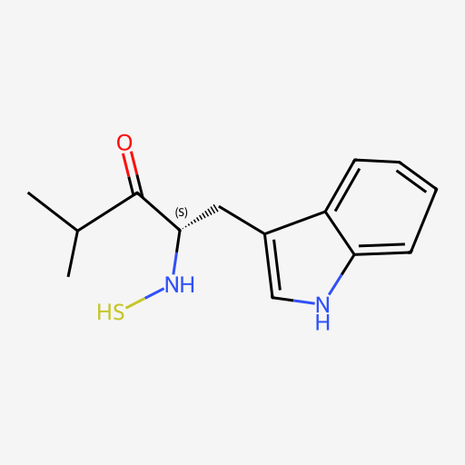 CC(C)C(=O)[C@H](Cc1c[nH]c2ccccc12)NS